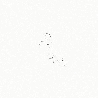 C=C(COc1cc(C(F)(F)F)ccc1NC(=O)NCc1ccc2c(c1)CN(C1CCC(=O)NC1=O)C2=O)C(=O)O